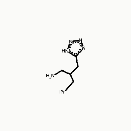 CC(C)CC(CN)Cc1nnn[nH]1